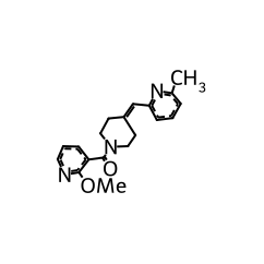 COc1ncccc1C(=O)N1CCC(=Cc2cccc(C)n2)CC1